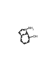 Nn1ccc2cccc(O)c21